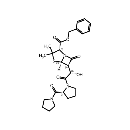 CC1(C)S[C@@H]2[C@H]([C@H](O)C(=O)N3CCC[C@H]3C(=O)N3CCCC3)C(=O)N2[C@H]1C(=O)OCc1ccccc1